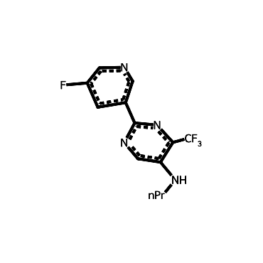 CCCNc1cnc(-c2cncc(F)c2)nc1C(F)(F)F